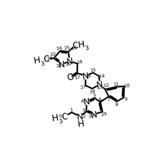 CCNc1ncc(-c2ccccc2N2CCN(C(=O)Cn3nc(C)cc3C)CC2)cn1